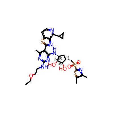 CCOCCNc1nc(C)c(-c2nc3c(C4CC4)nccc3s2)c(N[C@@H]2C[C@H](CS(=O)(=O)c3nc(C)c(C)s3)[C@@H](O)[C@H]2O)n1